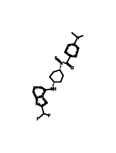 CN(C)c1ccc(C(=O)[N+](=S)[C@H]2CC[C@@H](Nc3cccc4nc(C(F)F)cn34)CC2)cc1